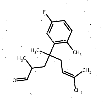 CC(C)=CCC(C)(CC(C)C=O)c1cc(F)ccc1C